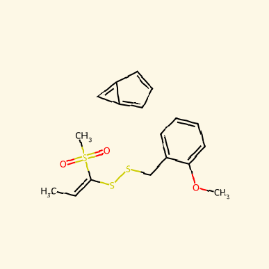 CC=C(SSCc1ccccc1OC)S(C)(=O)=O.c1cc2cc-2c1